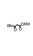 COC(=O)[CH]C(=O)C(C)(C)C